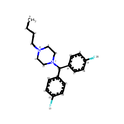 CCCCN1CCN(C(c2ccc(F)cc2)c2ccc(F)cc2)CC1